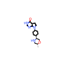 C[C@@H]1CN[C@@H](c2ccc(-n3ccc4c(=O)[nH]cnc43)cc2)CO1